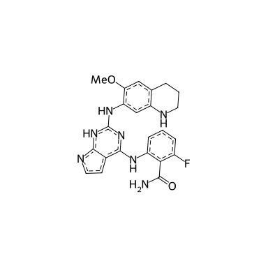 COc1cc2c(cc1Nc1nc(Nc3cccc(F)c3C(N)=O)c3ccnc-3[nH]1)NCCC2